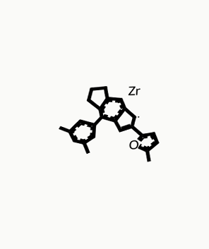 Cc1cc(C)cc(-c2c3c(cc4c2CCC4)[CH]C(c2ccc(C)o2)=C3)c1.[Zr]